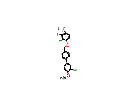 CCCCOc1ccc(-c2ccc(COc3ccc(C)c(F)c3F)cc2)cc1F